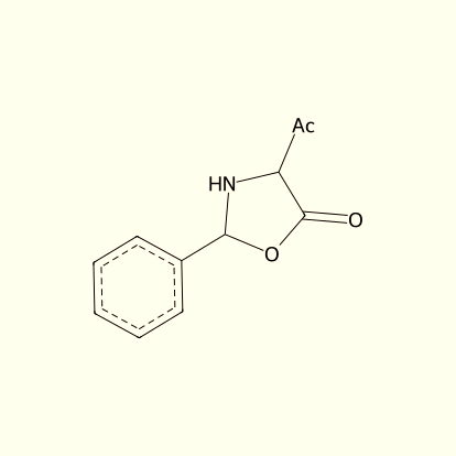 CC(=O)C1NC(c2ccccc2)OC1=O